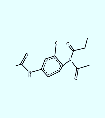 CCC(=O)N(C(C)=O)c1ccc(NC(C)=O)cc1Cl